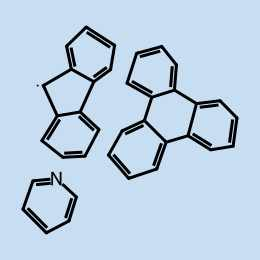 [CH]1c2ccccc2-c2ccccc21.c1ccc2c(c1)c1ccccc1c1ccccc21.c1ccncc1